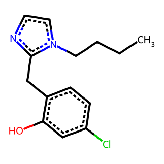 CCCCn1ccnc1Cc1ccc(Cl)cc1O